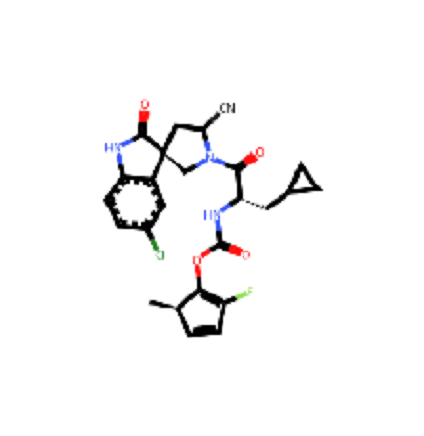 C[C@@H]1C=CC(F)=C1OC(=O)N[C@@H](CC1CC1)C(=O)N1C[C@]2(CC1C#N)C(=O)Nc1ccc(Cl)cc12